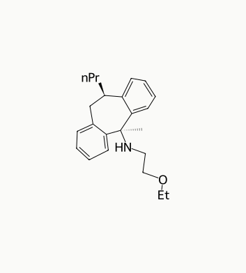 CCC[C@@H]1Cc2ccccc2[C@](C)(NCCOCC)c2ccccc21